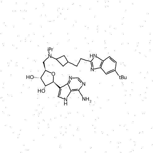 CC(C)N(C[C@H]1O[C@@H](c2c[nH]c3c(N)ncnc23)[C@H](O)[C@@H]1O)C1CC(CCc2nc3cc(C(C)(C)C)ccc3[nH]2)C1